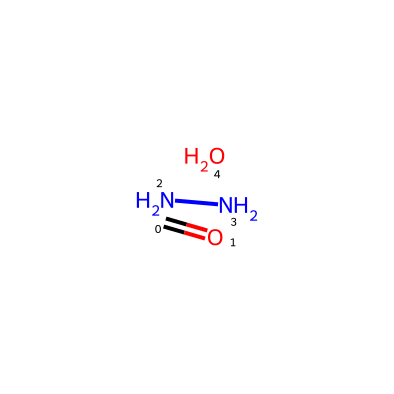 C=O.NN.O